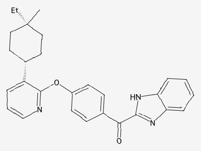 CC[C@]1(C)CC[C@H](c2cccnc2Oc2ccc(C(=O)c3nc4ccccc4[nH]3)cc2)CC1